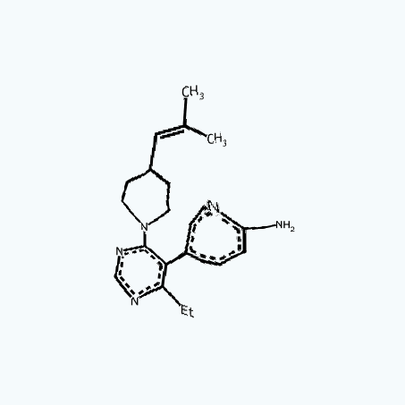 CCc1ncnc(N2CCC(C=C(C)C)CC2)c1-c1ccc(N)nc1